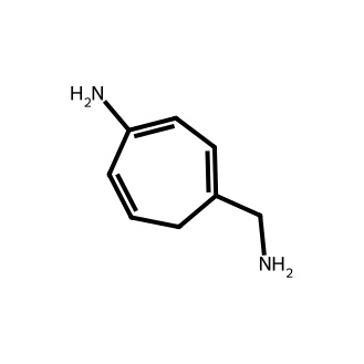 NCC1=CC=C(N)C=CC1